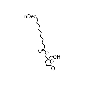 CCCCCCCCCCCCCCCCCCCC(=O)OCC1(CO)CCC(=O)O1